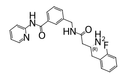 N[C@@H](CC(=O)NCc1cccc(C(=O)Nc2ccccn2)c1)Cc1ccccc1F